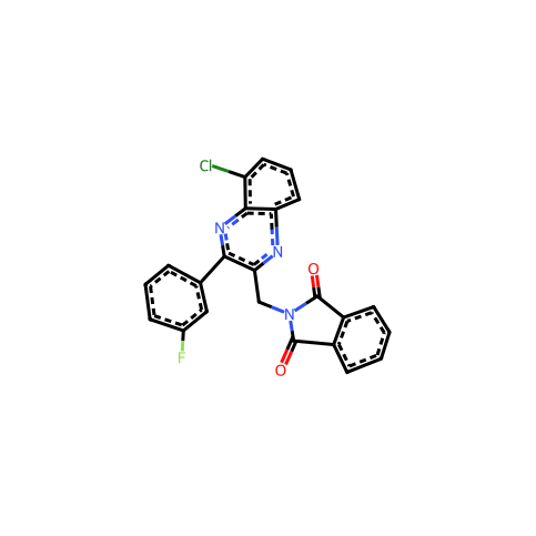 O=C1c2ccccc2C(=O)N1Cc1nc2cccc(Cl)c2nc1-c1cccc(F)c1